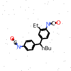 CCCCC(c1ccc(N=C=O)cc1)c1ccc(N=C=O)c(CC)c1